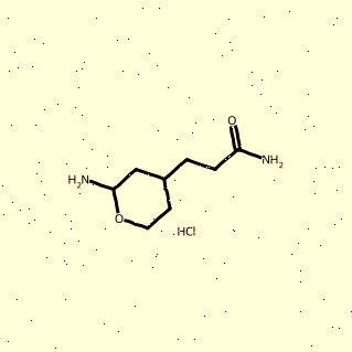 Cl.NC(=O)CCC1CCOC(N)C1